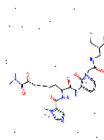 CCC(CC)CNC(=O)Cn1cccc(NC(=O)C(CCCCC(=O)C(=O)NC)NC(=O)c2cncn2C)c1=O